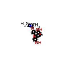 CC1CCN(C(C)COc2ccc(C3Oc4ccc(O)cc4C(CC4CC4)=C3c3cccc(O)c3)cc2)C1